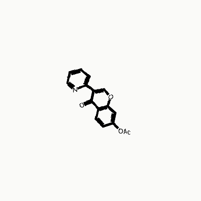 CC(=O)Oc1ccc2c(=O)c(-c3ccccn3)coc2c1